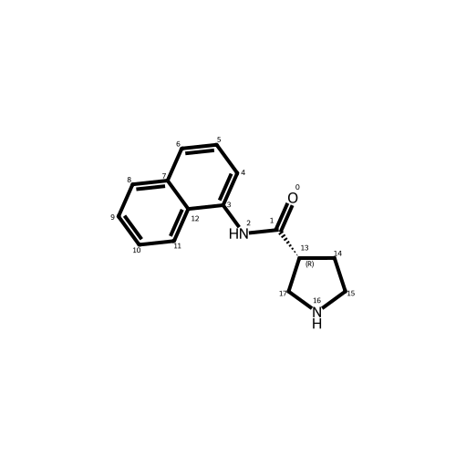 O=C(Nc1cccc2ccccc12)[C@@H]1CCNC1